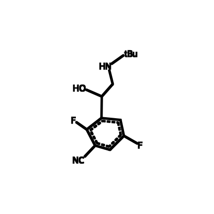 CC(C)(C)NCC(O)c1cc(F)cc(C#N)c1F